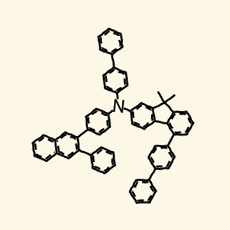 CC1(C)c2cc(N(c3ccc(-c4ccccc4)cc3)c3ccc(-c4cc5ccccc5cc4-c4ccccc4)cc3)ccc2-c2c(-c3ccc(-c4ccccc4)cc3)cccc21